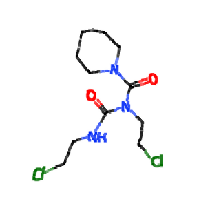 O=C(NCCCl)N(CCCl)C(=O)N1CCCCC1